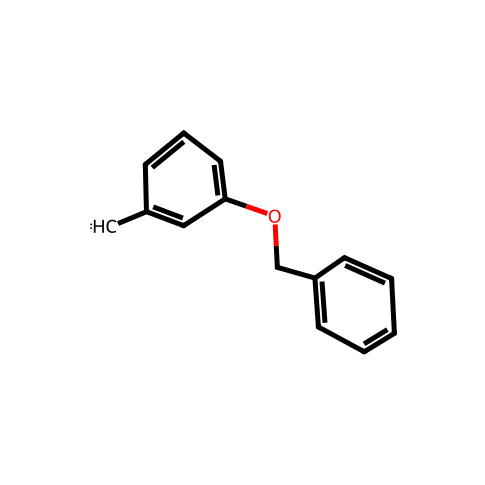 [CH]c1cccc(OCc2ccccc2)c1